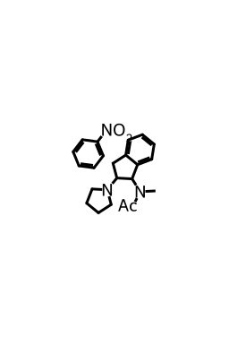 CC(=O)N(C)C1c2ccccc2CC1N1CCCC1.O=[N+]([O-])c1ccccc1